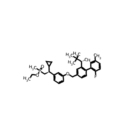 CCOP(C)(=O)C[C@H](c1cccc(OCc2ccc(-c3cc(C)ccc3F)c([C@@H](C)C(C)(C)C)c2)c1)C1CC1